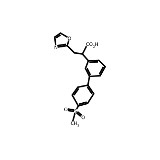 CS(=O)(=O)c1ccc(-c2cccc(C(Cc3ncco3)C(=O)O)c2)cc1